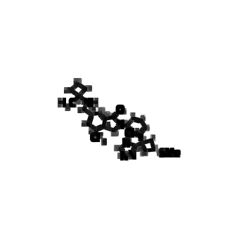 CS[C@H]1C[C@@](c2cccc(N3Cc4c(cc(CNC5(C)CCC5)cc4C(F)(F)F)C3=O)c2)(c2nncn2C)C1